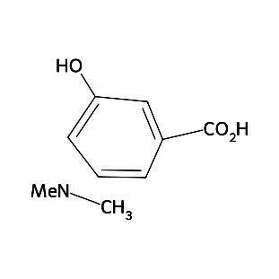 CNC.O=C(O)c1cccc(O)c1